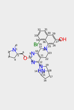 CN1CCC[C@@H]1COc1nc2c(c(N3CC4CCC(C3)N4)n1)CCN(c1cc(O)cc3cccc(Br)c13)C2